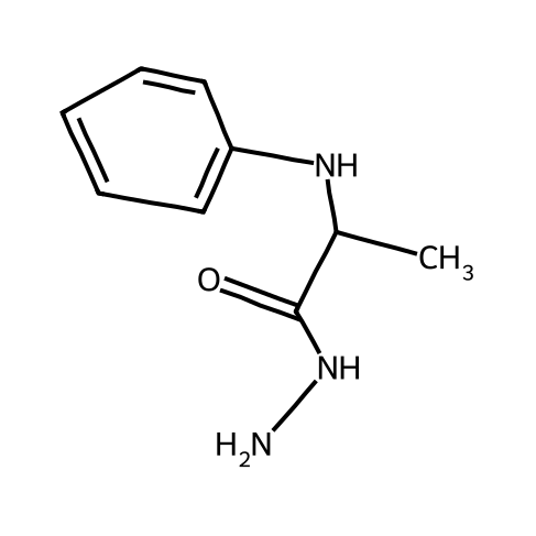 CC(Nc1ccccc1)C(=O)NN